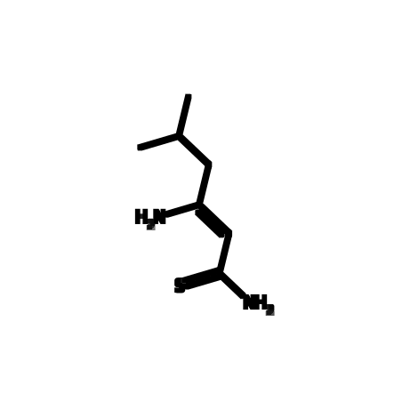 CC(C)CC(N)=CC(N)=S